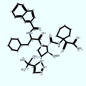 CO[C@@H]1[C@@H](C(=O)NC2(C(=O)C(N)=O)CCCCC2)N(C(=O)C(CC2CCCCC2)NC(=O)c2ccc3ccccc3c2)C[C@H]1n1nncc1C(C)(C)O